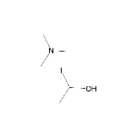 CC(O)I.CN(C)C